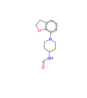 O=[C]NC1CCN(c2cccc3c2OCC3)CC1